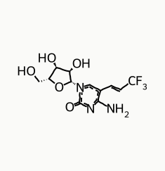 Nc1nc(=O)n([C@@H]2O[C@H](CO)[C@@H](O)[C@H]2O)cc1/C=C/C(F)(F)F